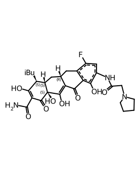 CCC(C)[C@@H]1C(O)=C(C(N)=O)C(=O)[C@@]2(O)C(O)=C3C(=O)c4c(O)c(NC(=O)CN5CCCC5)cc(F)c4C[C@H]3C[C@@H]12